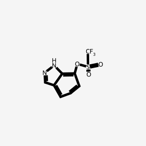 O=S(=O)(Oc1cccc2cn[nH]c12)C(F)(F)F